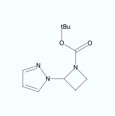 CC(C)(C)OC(=O)N1CCC1n1cccn1